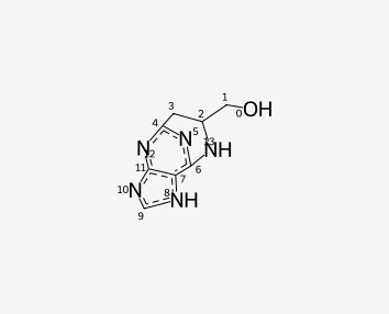 OCC1Cc2nc(c3[nH]cnc3n2)N1